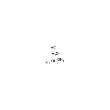 Cl.O.O.O.[Rh]